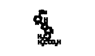 CC(C)(Cc1cc2cc(-c3cc(C(C)(C)C)ccn3)[nH]c2cn1)C(=O)O